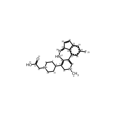 CN1C=C2C(=C(C3CCN(CC(=O)O)CC3)C1)NN=C1C=Cc3cc(F)cc2c31